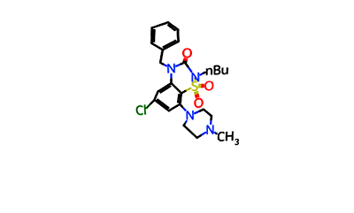 CCCCN1C(=O)N(Cc2ccccc2)c2cc(Cl)cc(N3CCN(C)CC3)c2S1(=O)=O